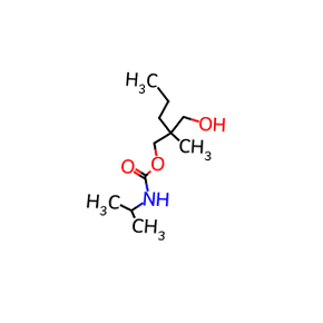 CCCC(C)(CO)COC(=O)NC(C)C